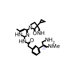 CN/C=C(\CN)c1cccc(CC(=O)NC2N=C(N3CCC(C=N)(C4CC4)C3=O)C=C(C)N2)c1